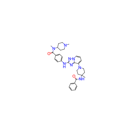 CN1CCC(N(C)C(=O)c2ccc(Nc3nc4c(N5CCC(C)(NC(=O)c6ccccc6)CC5)cccn4n3)cc2)CC1